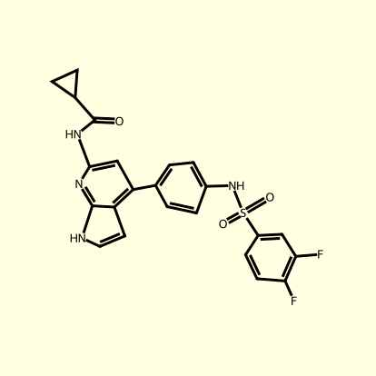 O=C(Nc1cc(-c2ccc(NS(=O)(=O)c3ccc(F)c(F)c3)cc2)c2cc[nH]c2n1)C1CC1